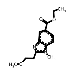 CCOC(=O)c1ccc2c(c1)nc(CCOC)n2C